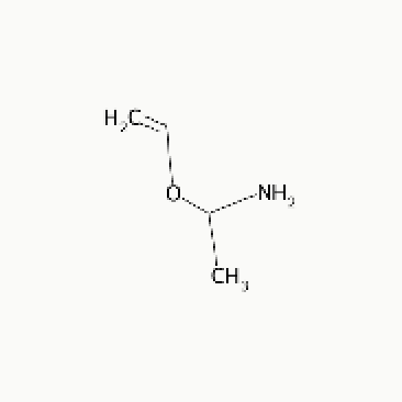 C=COC(C)N